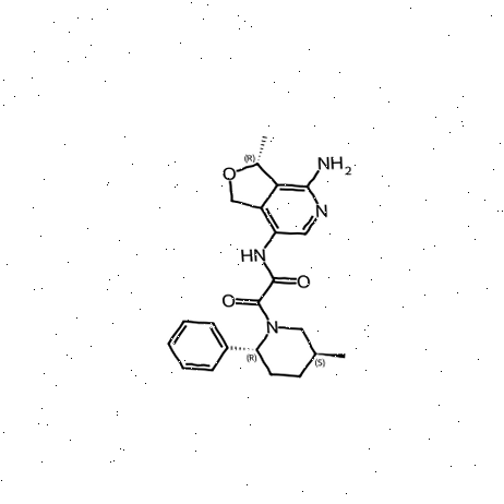 C[C@H]1CC[C@H](c2ccccc2)N(C(=O)C(=O)Nc2cnc(N)c3c2CO[C@@H]3C)C1